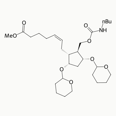 CCCCNC(=O)OC[C@@H]1[C@@H](C/C=C\CCCC(=O)OC)[C@@H](OC2CCCCO2)C[C@H]1OC1CCCCO1